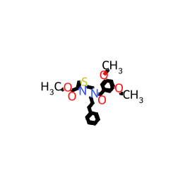 CCOC(=O)c1csc(CN(CCCc2ccccc2)C(=O)c2cc(OCC)cc(OCC)c2)n1